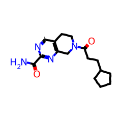 NC(=O)c1n[c]c2c(n1)CN(C(=O)CCC1CCCC1)CC2